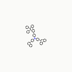 c1ccc(-c2c(-c3ccccc3)c3cc(-c4ccc(N(c5ccc(-c6cccc7ccccc67)cc5)c5ccc(-c6cc7ccccc7c7ccccc67)cc5)cc4)ccc3c3ccccc23)cc1